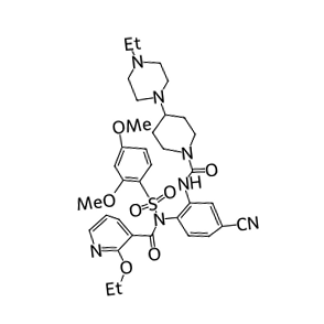 CCOc1ncccc1C(=O)N(c1ccc(C#N)cc1NC(=O)N1CCC(N2CCN(CC)CC2)CC1)S(=O)(=O)c1ccc(OC)cc1OC